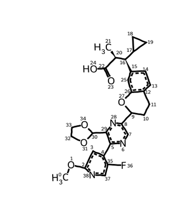 COc1cc(-c2ncc(C3CCc4ccc([C@H](C5CC5)[C@H](C)C(=O)O)cc4O3)nc2C2OCCO2)c(F)cn1